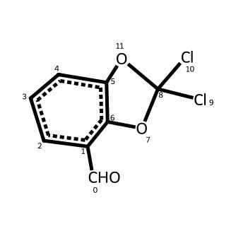 O=Cc1cccc2c1OC(Cl)(Cl)O2